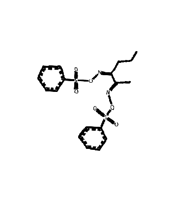 CCCC(=NOS(=O)(=O)c1ccccc1)C(C)=NOS(=O)(=O)c1ccccc1